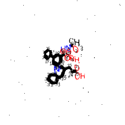 CC(=O)NO[As](=O)(OO)c1cccc(-c2ccccc2)c1.O=C(O)CCc1cnc2ccccc2c1